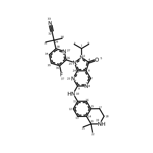 CC(C)n1c(=O)c2cnc(Nc3ccc4c(c3)CCNC4(C)C)nc2n1-c1nc(C(C)(C)C#N)ccc1F